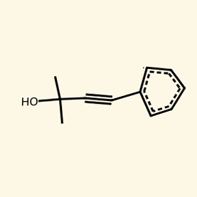 CC(C)(O)C#Cc1[c]cccc1